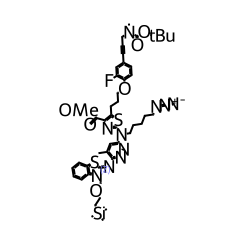 COC(=O)c1nc(N(CCCCCN=[N+]=[N-])c2cc(C)c(/N=c3\sc4ccccc4n3COCC[Si](C)(C)C)nn2)sc1CCCOc1ccc(C#CCN(C)C(=O)OC(C)(C)C)cc1F